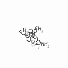 COc1ccc2c3c1O[C@H]1[C@@]4(OC)CC[C@@]5(C[C@@H]4COCc4cccc(N)c4)[C@@H](C2)N(CC2CC2)CC[C@]315